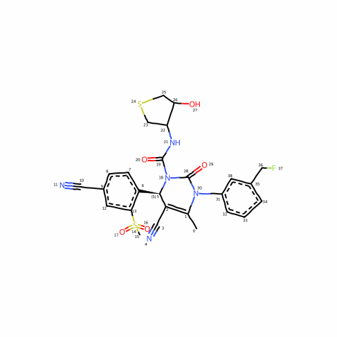 CC1=C(C#N)[C@@H](c2ccc(C#N)cc2S(C)(=O)=O)N(C(=O)NC2CSCC2O)C(=O)N1c1cccc(CF)c1